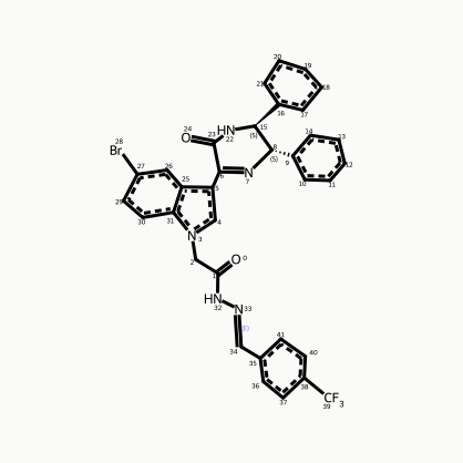 O=C(Cn1cc(C2=N[C@@H](c3ccccc3)[C@H](c3ccccc3)NC2=O)c2cc(Br)ccc21)N/N=C/c1ccc(C(F)(F)F)cc1